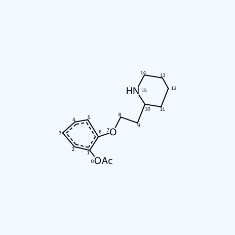 CC(=O)Oc1ccccc1OCCC1CCCCN1